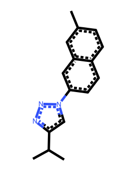 Cc1ccc2ccc(-n3cc(C(C)C)nn3)cc2c1